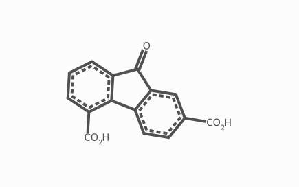 O=C(O)c1ccc2c(c1)C(=O)c1cccc(C(=O)O)c1-2